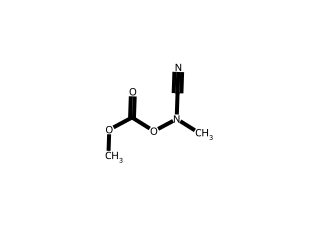 COC(=O)ON(C)C#N